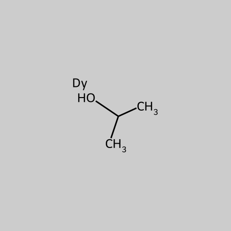 CC(C)O.[Dy]